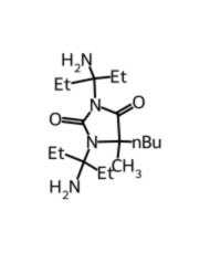 CCCCC1(C)C(=O)N(C(N)(CC)CC)C(=O)N1C(N)(CC)CC